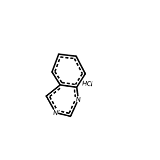 Cl.c1ccc2ncncc2c1